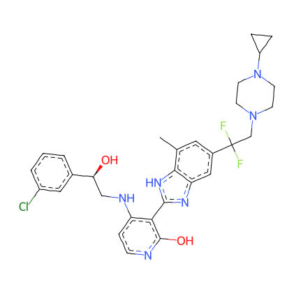 Cc1cc(C(F)(F)CN2CCN(C3CC3)CC2)cc2nc(-c3c(NC[C@H](O)c4cccc(Cl)c4)ccnc3O)[nH]c12